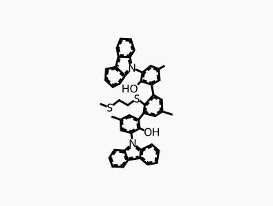 CSCCSc1c(-c2cc(C)cc(-n3c4ccccc4c4ccccc43)c2O)cc(C)cc1-c1cc(C)cc(-n2c3ccccc3c3ccccc32)c1O